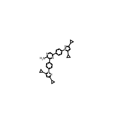 Nc1ncc(-c2ccc(-n3nc(C4CC4)cc3C3CC3)cc2)nc1-c1ccc(-n2nc(C3CC3)cc2C2CC2)cc1